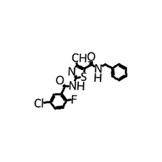 Cc1nc(NC(=O)c2cc(Cl)ccc2F)sc1C(=O)NCc1ccccc1